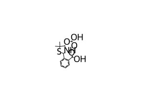 CC1(C)SC(c2ccccc2C(=O)O)N[C@H]1OC(=O)O